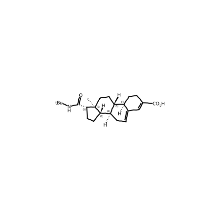 CC(C)(C)NC(=O)[C@H]1CC[C@H]2[C@@H]3CC=C4C=C(C(=O)O)CC[C@@H]4[C@H]3CC[C@]12C